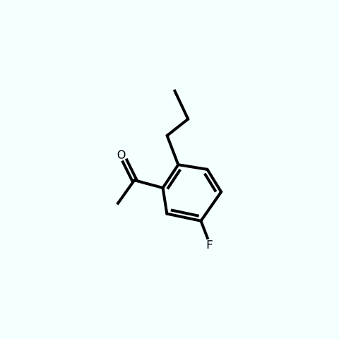 CCCc1ccc(F)cc1C(C)=O